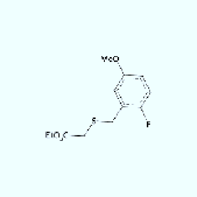 CCOC(=O)CSCc1cc(OC)ccc1F